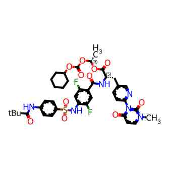 C[C@@H](OC(=O)OC1CCCCC1)OC(=O)[C@H](Cc1ccc(-n2c(=O)ccn(C)c2=O)nc1)NC(=O)c1cc(F)c(NS(=O)(=O)c2ccc(NC(=O)C(C)(C)C)cc2)cc1F